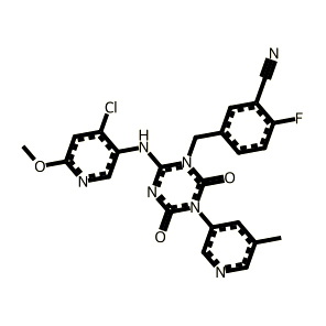 COc1cc(Cl)c(Nc2nc(=O)n(-c3cncc(C)c3)c(=O)n2Cc2ccc(F)c(C#N)c2)cn1